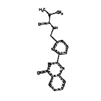 CN(C)C(=O)NCc1cccc(-c2nc(=O)c3ccccc3s2)n1